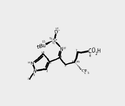 Cn1cc(C(C[C@H](CC(=O)O)C(F)(F)F)=N[S@+]([O-])C(C)(C)C)cn1